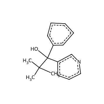 CC(C)(C)C(O)(c1ccccc1)c1cccnc1